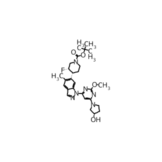 COc1nc(N2CC[C@@H](O)C2)cc(-n2ncc3cc(C)c([C@H]4CCN(C(=O)OC(C)(C)C)C[C@H]4F)cc32)n1